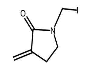 C=C1CCN(CI)C1=O